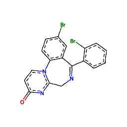 O=c1ccn2c(n1)CN=C(c1ccccc1Br)c1cc(Br)ccc1-2